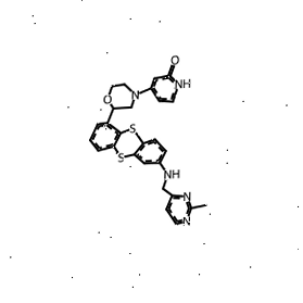 Cc1nccc(CNc2ccc3c(c2)Sc2cccc(C4CN(c5cc[nH]c(=O)c5)CCO4)c2S3)n1